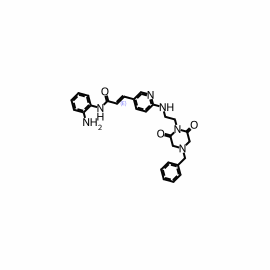 Nc1ccccc1NC(=O)/C=C/c1ccc(NCCN2C(=O)CN(Cc3ccccc3)CC2=O)nc1